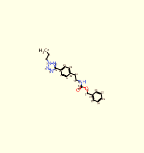 CCCn1nnc(-c2ccc(CCNC(=O)OCc3ccccc3)cc2)n1